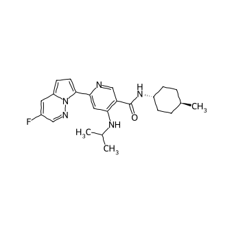 CC(C)Nc1cc(-c2ccc3cc(F)cnn23)ncc1C(=O)N[C@H]1CC[C@H](C)CC1